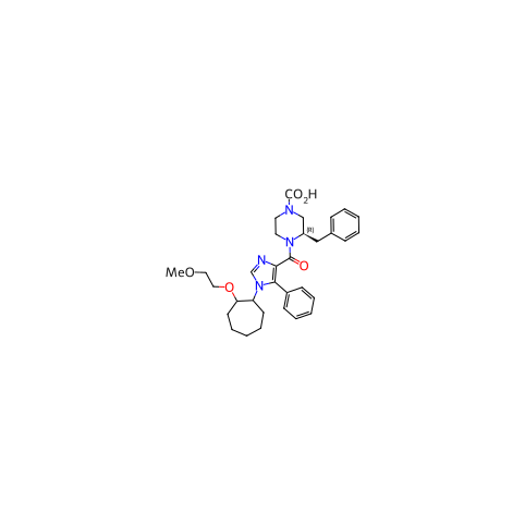 COCCOC1CCCCCC1n1cnc(C(=O)N2CCN(C(=O)O)C[C@H]2Cc2ccccc2)c1-c1ccccc1